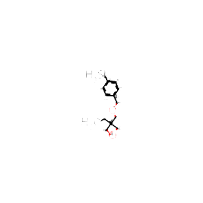 CCC1(COCc2ccc([SiH3])cc2)COC1